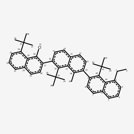 CCc1cccc2ccc(-c3ccc4ccc(-c5ccc6cccc(C(C)(C)C)c6c5Cl)c(C(C)(C)C)c4c3C)c(C(C)(C)C)c12